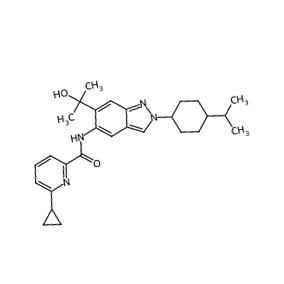 CC(C)C1CCC(n2cc3cc(NC(=O)c4cccc(C5CC5)n4)c(C(C)(C)O)cc3n2)CC1